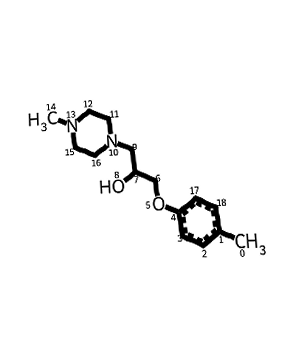 Cc1ccc(OCC(O)CN2CCN(C)CC2)cc1